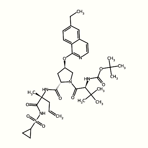 C=CC[C@@](C)(NC(=O)[C@@H]1C[C@@H](Oc2nccc3cc(CC)ccc23)CN1C(=O)[C@@H](NC(=O)OC(C)(C)C)C(C)(C)C)C(=O)NS(=O)(=O)C1CC1